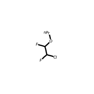 [CH2]CCOC(F)C(F)Cl